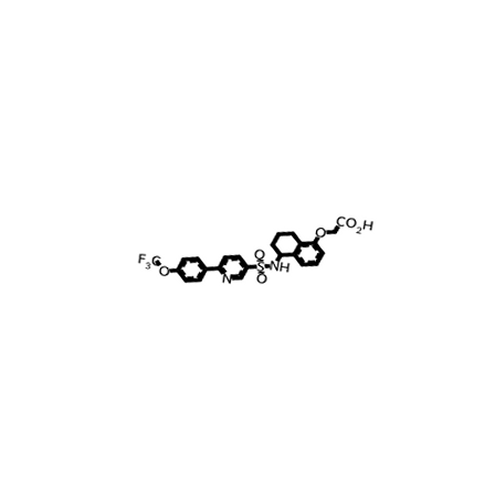 O=C(O)COc1cccc2c1CCCC2NS(=O)(=O)c1ccc(-c2ccc(OC(F)(F)F)cc2)nc1